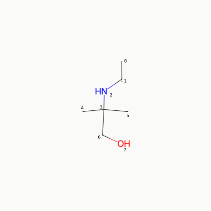 C[CH]NC(C)(C)CO